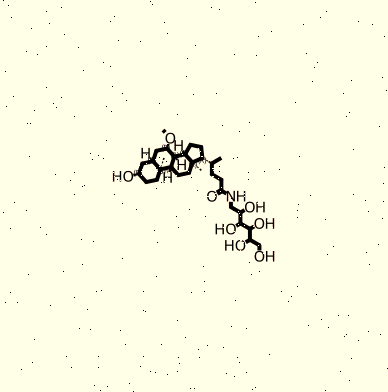 CO[C@@H]1C[C@@H]2C[C@H](O)CC[C@]2(C)[C@H]2CC[C@]3(C)[C@@H](C(C)CCC(=O)NCC(O)C(O)C(O)C(O)CO)CC[C@H]3[C@H]12